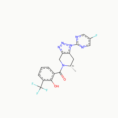 C[C@H]1Cc2c(nnn2-c2ncc(F)cn2)CN1C(=O)c1cccc(C(F)(F)F)c1O